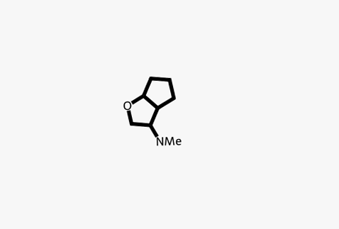 CNC1COC2CCCC12